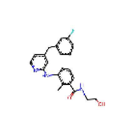 Cc1c(Nc2cc(Cc3cccc(F)c3)ccn2)cccc1C(=O)NCCO